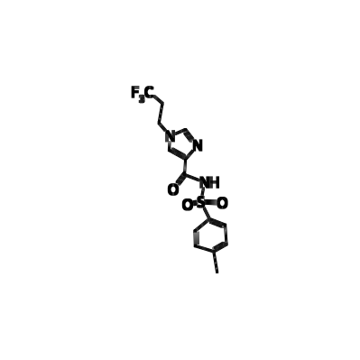 Cc1ccc(S(=O)(=O)NC(=O)c2cn(CCC(F)(F)F)cn2)cc1